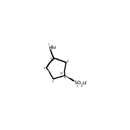 CC(C)(C)C1CC[C@H](S(=O)(=O)O)C1